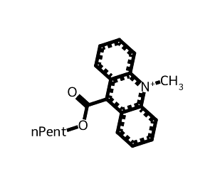 CCCCCOC(=O)c1c2ccccc2[n+](C)c2ccccc12